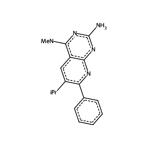 CNc1nc(N)nc2nc(-c3ccccc3)c(C(C)C)cc12